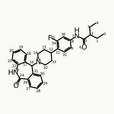 CCC(CC)C(=O)Nc1ccc(C2CCN(C3c4ccccc4NC(=O)c4ccccc43)CC2)c(F)c1